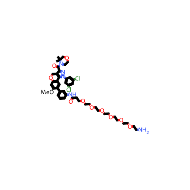 COc1cc2c(cc1-c1cccc(NC(=O)CCOCCOCCOCCOCCOCCOCCN)c1)-c1c(c(C(=O)N3CCOCC3(C)C)nn1-c1cc(Cl)cc(Cl)c1)CO2